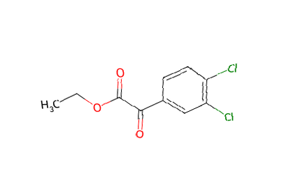 CCOC(=O)C(=O)c1ccc(Cl)c(Cl)c1